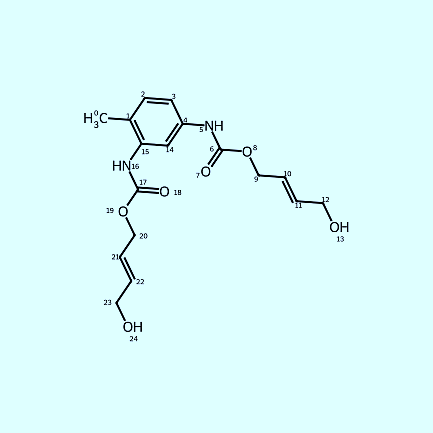 Cc1ccc(NC(=O)OCC=CCO)cc1NC(=O)OCC=CCO